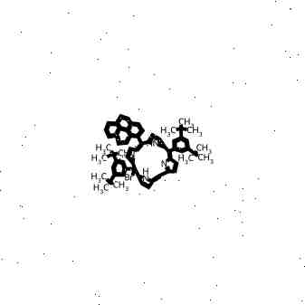 CC(C)(C)c1cc(C2=C3C=CC(=N3)C=C3C=CC(N3)C(Br)(c3cc(C(C)(C)C)cc(C(C)(C)C)c3)C3=NC(=C(c4ccc5ccc6cccc7ccc4c5c67)c4ccc2[nH]4)C=C3)cc(C(C)(C)C)c1